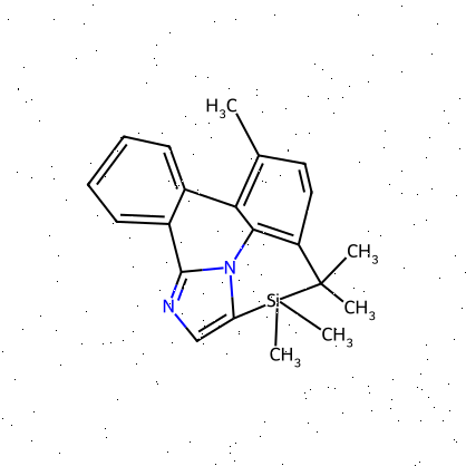 Cc1ccc2c3c1c1ccccc1c1ncc(n13)[Si](C)(C)C2(C)C